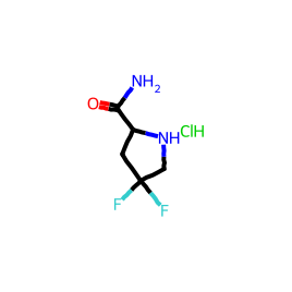 Cl.NC(=O)C1CC(F)(F)CN1